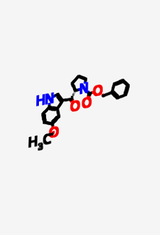 COc1ccc2[nH]cc(C(=O)[C@@H]3CCCN3C(=O)OCc3ccccc3)c2c1